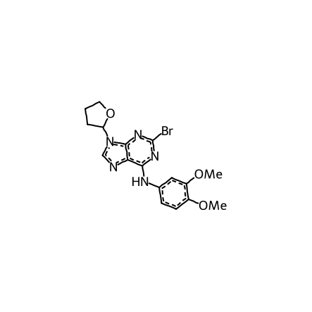 COc1ccc(Nc2nc(Br)nc3c2ncn3C2CCCO2)cc1OC